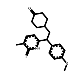 CSc1ccc(C(CC2CCC(=O)CC2)c2ccc(C)c(=O)[nH]2)cc1